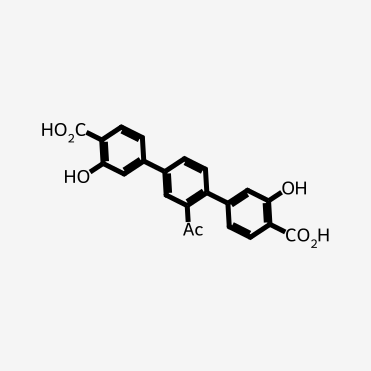 CC(=O)c1cc(-c2ccc(C(=O)O)c(O)c2)ccc1-c1ccc(C(=O)O)c(O)c1